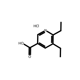 CCc1cc(C(=O)O)cnc1CC.Cl